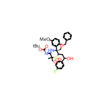 COc1ccc(C)c([C@@]2(COCc3ccccc3)N/C(=N\C(=O)OC(C)(C)C)C(C)(C)S(=O)(=O)C2CC(O)c2ccc(F)cc2)c1